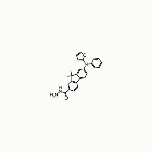 CC1(C)c2cc(C(=O)NN)ccc2-c2ccc(N(c3ccccc3)c3ccco3)cc21